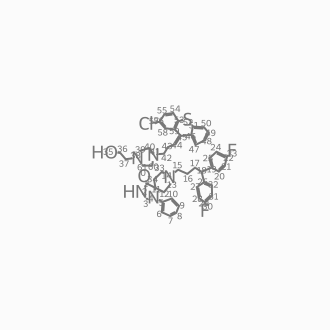 O=C1NCN(c2ccccc2)C12CCN(CCCC(c1ccc(F)cc1)c1ccc(F)cc1)CC2.OCCN1CCN(CC/C=C2/c3ccccc3Sc3ccc(Cl)cc32)CC1